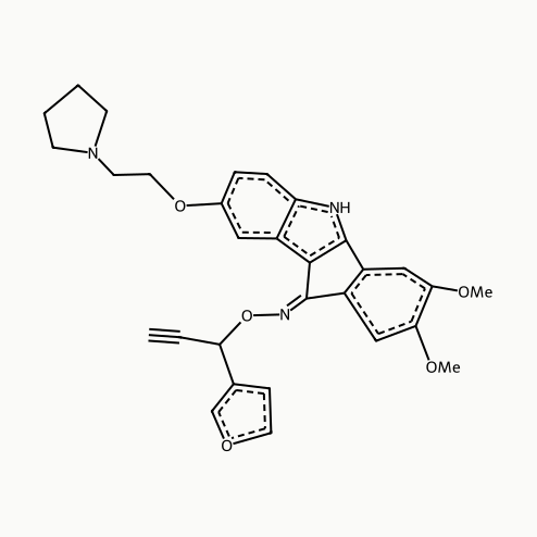 C#CC(ON=C1c2cc(OC)c(OC)cc2-c2[nH]c3ccc(OCCN4CCCC4)cc3c21)c1ccoc1